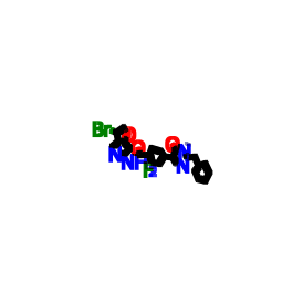 Cn1c(Cc2ccccc2)ncc(-c2ccc(COc3c(N)ncc4c(Br)coc34)c(F)c2)c1=O